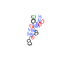 O=C(Cc1ccc2ccccc2c1)Nc1cccc2cc(C(=O)Nc3ccc(Cl)cc3-c3noc(=O)[nH]3)[nH]c12